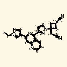 CCn1cc(-c2cc3ncccc3c(-c3ccn(C4(CC#N)CC(C#N)C4)n3)n2)cn1